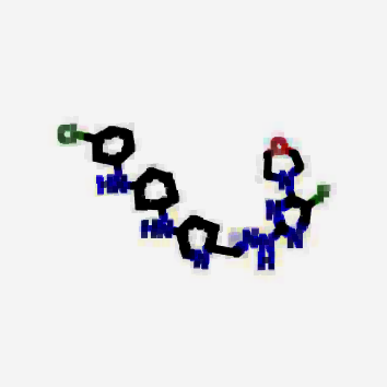 Fc1cnc(N/N=C/c2ccc(Nc3cccc(Nc4cccc(Cl)c4)c3)cn2)nc1N1CCOCC1